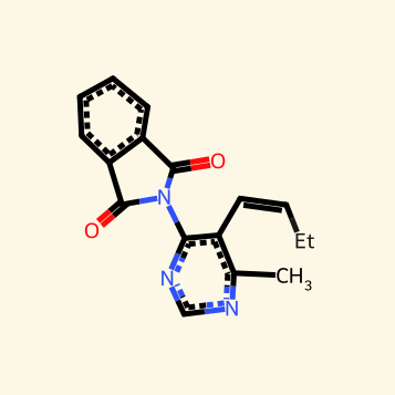 CC/C=C\c1c(C)ncnc1N1C(=O)c2ccccc2C1=O